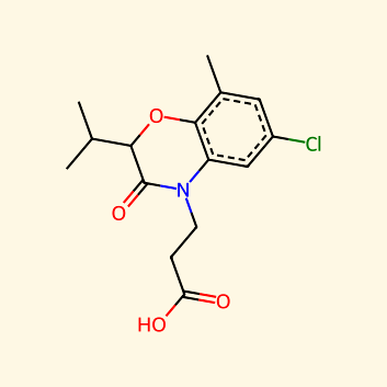 Cc1cc(Cl)cc2c1OC(C(C)C)C(=O)N2CCC(=O)O